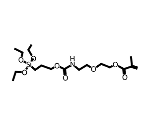 C=C(C)C(=O)OCCOCCNC(=O)OCCC[Si](OCC)(OCC)OCC